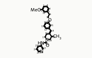 COc1cccc(CCOc2cccc(C=C3CCN(C(=O)Nc4cccnc4)CC3C)c2)c1